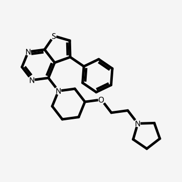 c1ccc(-c2csc3ncnc(N4CCCC(OCCN5CCCC5)C4)c23)cc1